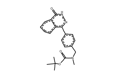 CN(Cc1ccc(-c2n[nH]c(=O)c3ccccc23)cc1)C(=O)OC(C)(C)C